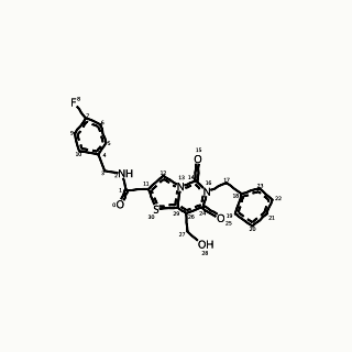 O=C(NCc1ccc(F)cc1)c1cn2c(=O)n(Cc3ccccc3)c(=O)c(CO)c2s1